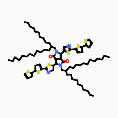 CCCCCCCCCCCCC(CCCCCCCCCC)CN1C(=O)C2=C(C3CN=C(C4=CCC(C5CC=CS5)S4)S3)N(CC(CCCCCCCCCC)CCCCCCCCCCCC)C(=O)C2=C1c1cnc(-c2ccc(-c3cccs3)s2)s1